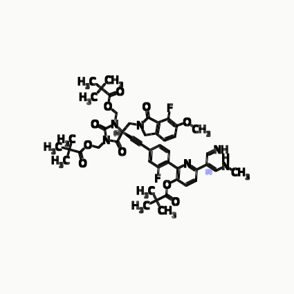 CN/C=C(\C=N)c1ccc(OC(=O)C(C)(C)C)c(-c2ccc(C#C[C@@]3(CN4Cc5ccc(OC)c(F)c5C4=O)C(=O)N(COC(=O)C(C)(C)C)C(=O)N3COC(=O)C(C)(C)C)cc2F)n1